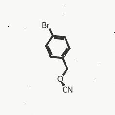 N#COCc1ccc(Br)cc1